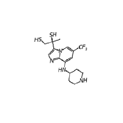 CC(S)(CS)c1cnc2c(NC3CCNCC3)cc(C(F)(F)F)cn12